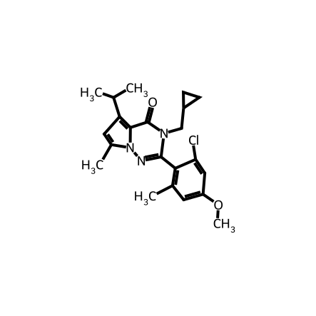 COc1cc(C)c(-c2nn3c(C)cc(C(C)C)c3c(=O)n2CC2CC2)c(Cl)c1